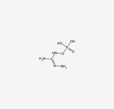 NN=C(N)NOP(=O)(O)O